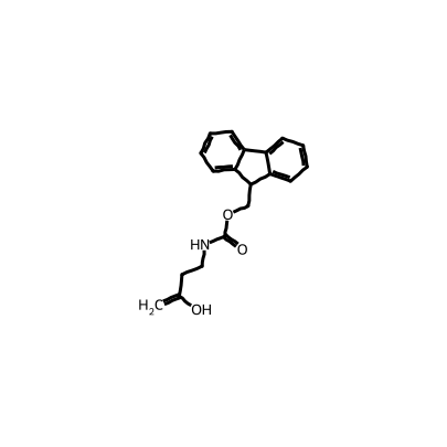 C=C(O)CCNC(=O)OCC1c2ccccc2-c2ccccc21